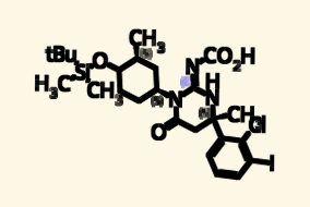 C[C@H]1C[C@@H](N2C(=O)C[C@@](C)(c3cccc(I)c3Cl)N/C2=N\C(=O)O)CCC1O[Si](C)(C)C(C)(C)C